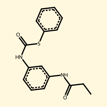 CCC(=O)Nc1cccc(NC(=O)Sc2ccccc2)c1